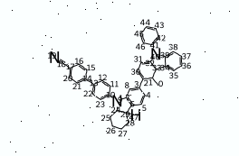 CC1C(c2ccc3c(c2)N(c2ccc(-c4ccc(C#N)cc4)cc2)C2CCCC[C@@H]32)=CC=C2C1c1ccccc1N2c1ccccc1